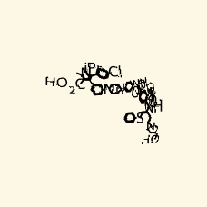 Cc1c(C(=O)O)c(-c2cccc(N3CCN(c4ccc(NS(=O)(=O)c5ccc(NC(CCN6CCC(CO)CC6)CSc6ccccc6)c(S(C)(=O)=O)c5)cc4)CC3)c2)c(-c2ccc(Cl)cc2)n1C(C)C